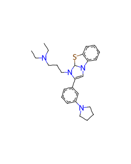 CCN(CC)CCCN1C(c2cccc(N3CCCC3)c2)=CN2c3ccccc3SC12